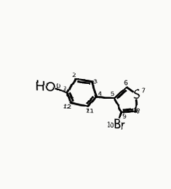 Oc1ccc(-c2cscc2Br)cc1